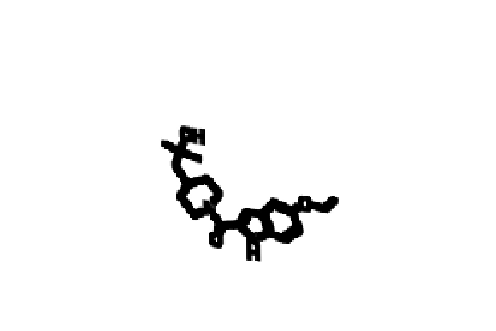 CCOc1ccc2[nH]c(C(=O)N3CCC(CC(C)(C)O)CC3)cc2c1